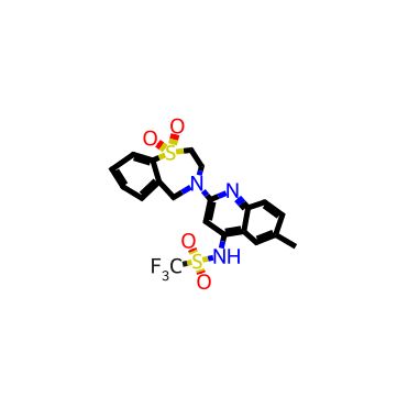 Cc1ccc2nc(N3CCS(=O)(=O)c4ccccc4C3)cc(NS(=O)(=O)C(F)(F)F)c2c1